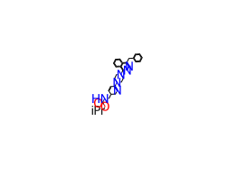 CC(C)OC(=O)NCC1C=CC(N2CCN(c3nnc(Cc4ccccc4)c4ccccc34)CC2)=NC1